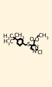 CCOC(=O)c1nc(Cl)ncc1SCc1ccc(C(C)(C)C)cc1